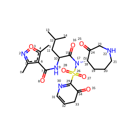 Cc1noc(C)c1C(=O)NC(CC(C)C)C(=O)N([C@H]1CCCNCC1=O)S(=O)(=O)C1=NC=CCC1=O